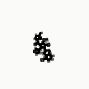 Cc1ccc(C(=O)C2=C(O)C(=O)N(c3nc4c(Cl)cccc4s3)C2c2ccoc2)o1